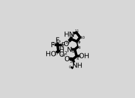 CNC(=O)C(O)C(N)C[C@@H]1CCNC1=O.O=C(O)C(F)(F)F